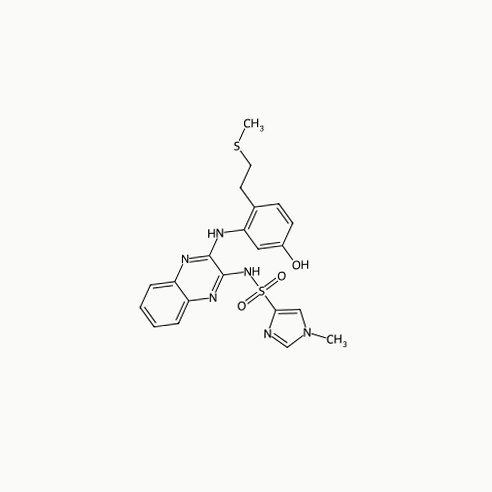 CSCCc1ccc(O)cc1Nc1nc2ccccc2nc1NS(=O)(=O)c1cn(C)cn1